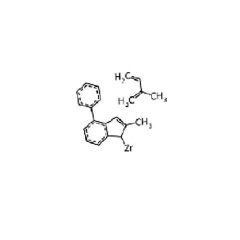 C=CC(=C)C.CC1=Cc2c(-c3ccccc3)cccc2[CH]1[Zr]